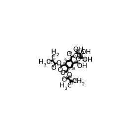 C=C(C)C(=O)OC(=O)c1cc(C(=O)O)c(C(=O)O)cc1C(=O)OC(=O)C(=C)C.OCC(O)CO